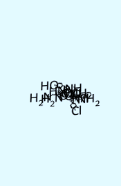 CC(C)[C@H](NC(=O)[C@H](Cc1ccc(Cl)cc1)NC(=O)[C@@H](N)Cc1ccccc1)C(=O)N[C@@H](Cc1ccc(O)cc1)C(=O)N[C@@H](CCCCN)C(N)=O